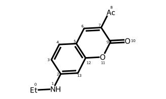 CCNc1ccc2cc(C(C)=O)c(=O)oc2c1